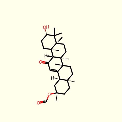 CC1(C)[C@@H](O)CC[C@]2(C)[C@H]3C(=O)C=C4[C@@H]5C[C@](C)(OC=O)CC[C@]5(C)CC[C@@]4(C)[C@]3(C)CC[C@@]12C